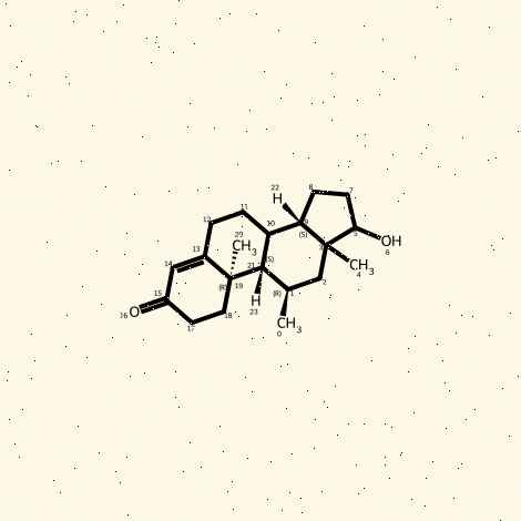 C[C@@H]1CC2(C)C(O)CC[C@H]2C2CCC3=CC(=O)CC[C@]3(C)[C@H]21